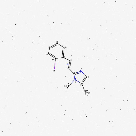 Cn1c([N+](=O)[O-])cnc1/C=C/c1ccccc1I